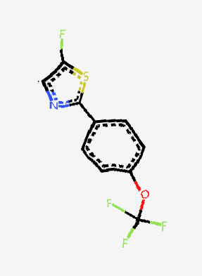 Fc1[c]nc(-c2ccc(OC(F)(F)F)cc2)s1